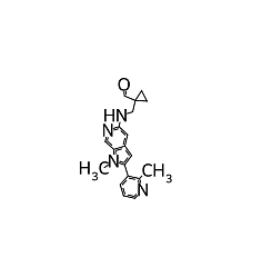 Cc1ncccc1-c1cc2cc(NCC3(C=O)CC3)ncc2n1C